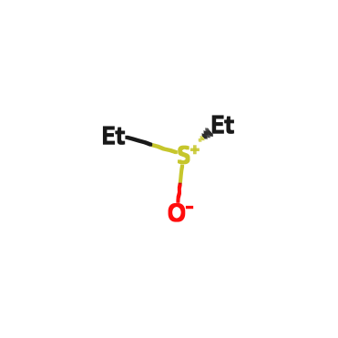 [CH2]C[S@+]([O-])CC